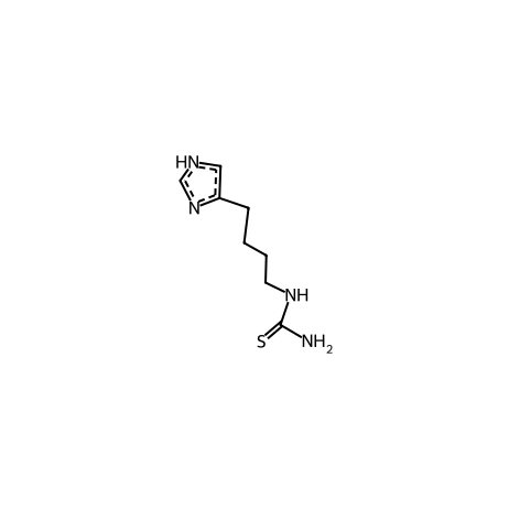 NC(=S)NCCCCc1c[nH]cn1